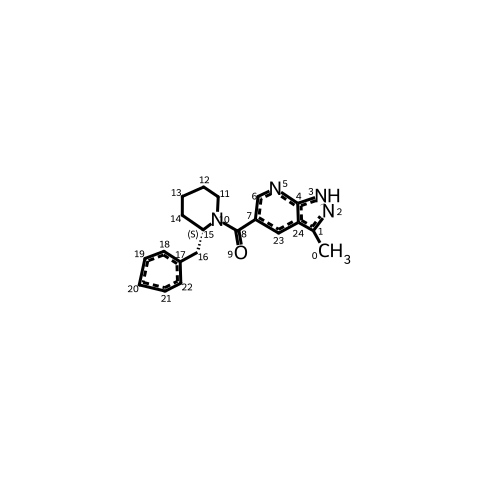 Cc1n[nH]c2ncc(C(=O)N3CCCC[C@H]3Cc3ccccc3)cc12